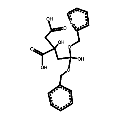 O=C(O)CC(O)(CC(O)(OCc1ccccc1)OCc1ccccc1)C(=O)O